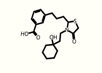 O=C(O)c1cccc(CCCC2SCC(=O)N2CCC2(O)CCCCC2)c1